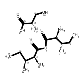 CC[C@H](C)[C@H](N)C(=O)OC(=O)[C@@H](N)[C@@H](C)CC.N[C@@H](CO)C(=O)O